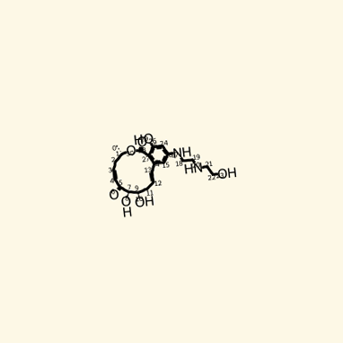 C[C@H]1C/C=C\C(=O)[C@@H](O)[C@@H](O)C/C=C/c2cc(NCCNCCO)cc(O)c2C(=O)O1